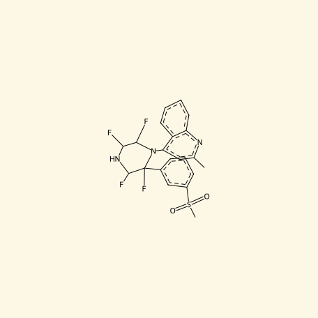 Cc1cc(N2C(F)C(F)NC(F)C2(F)c2cccc(S(C)(=O)=O)c2)c2ccccc2n1